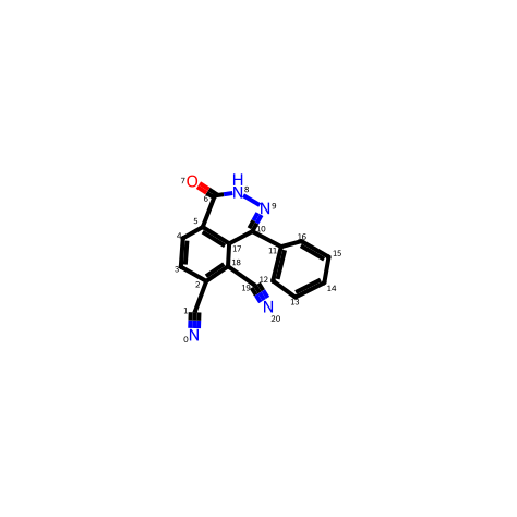 N#Cc1ccc2c(=O)[nH]nc(-c3ccccc3)c2c1C#N